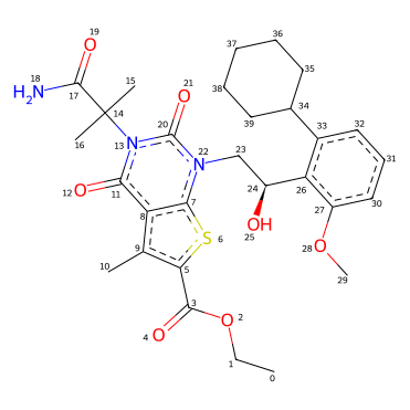 CCOC(=O)c1sc2c(c1C)c(=O)n(C(C)(C)C(N)=O)c(=O)n2C[C@H](O)c1c(OC)cccc1C1CCCCC1